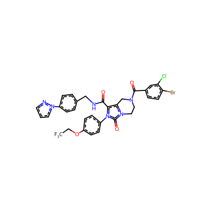 O=C(NCc1ccc(-n2cccn2)cc1)c1c2n(c(=O)n1-c1ccc(OCC(F)(F)F)cc1)CCN(C(=O)c1ccc(Br)c(Cl)c1)C2